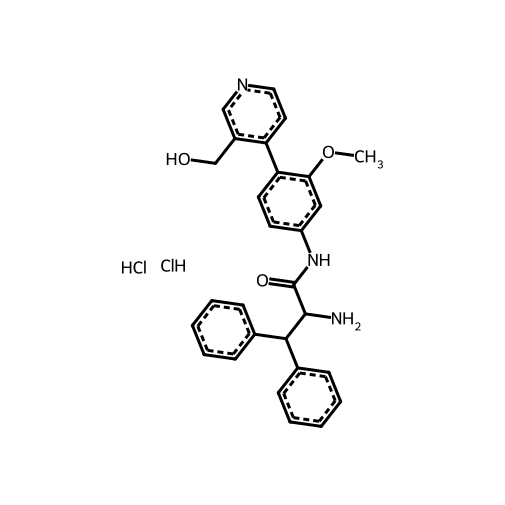 COc1cc(NC(=O)C(N)C(c2ccccc2)c2ccccc2)ccc1-c1ccncc1CO.Cl.Cl